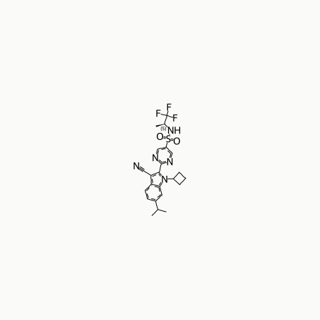 CC(C)c1ccc2c(C#N)c(-c3ncc(S(=O)(=O)N[C@@H](C)C(F)(F)F)cn3)n(C3CCC3)c2c1